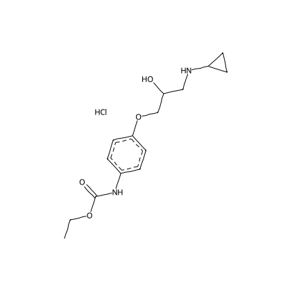 CCOC(=O)Nc1ccc(OCC(O)CNC2CC2)cc1.Cl